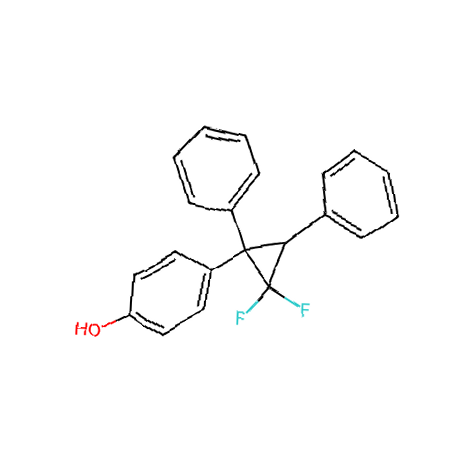 Oc1ccc(C2(c3ccccc3)C(c3ccccc3)C2(F)F)cc1